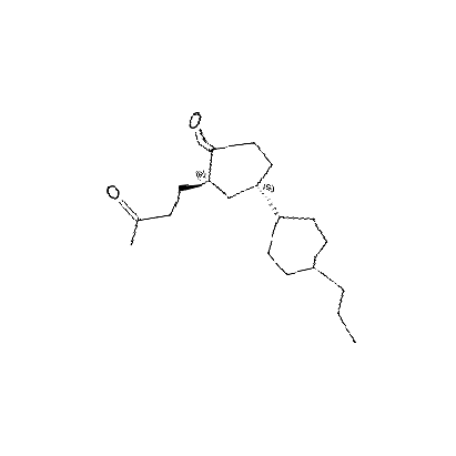 CCCC1CCC([C@H]2CCC(=O)[C@H](CCC(C)=O)C2)CC1